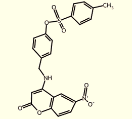 Cc1ccc(S(=O)(=O)Oc2ccc(CNc3cc(=O)oc4ccc([N+](=O)[O-])cc34)cc2)cc1